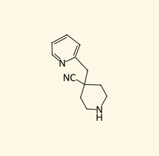 N#CC1(Cc2ccccn2)CCNCC1